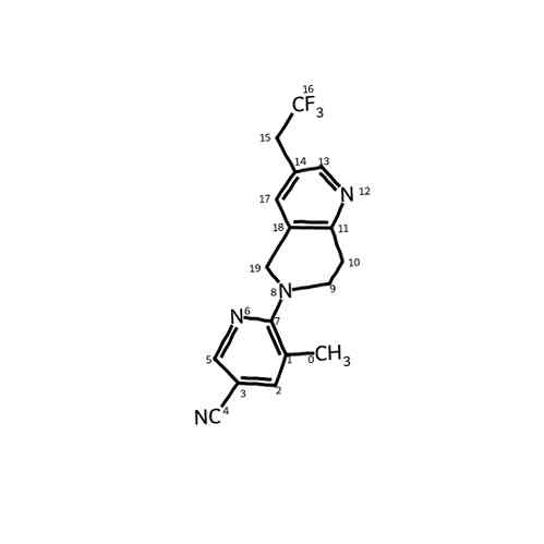 Cc1cc(C#N)cnc1N1CCc2ncc(CC(F)(F)F)cc2C1